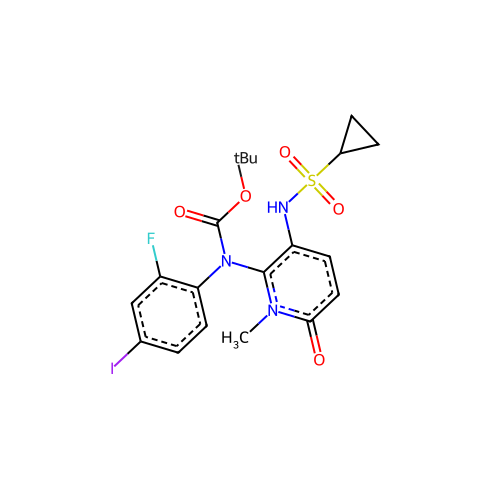 Cn1c(N(C(=O)OC(C)(C)C)c2ccc(I)cc2F)c(NS(=O)(=O)C2CC2)ccc1=O